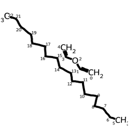 C=COC=C.CCCCCCCCCCCCCCCCCC